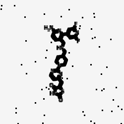 Nc1ccc(CNCC2CCN(c3nccc(C=C4SC(=O)NC4=O)n3)CC2)c(-c2cc(F)nc(F)c2)n1